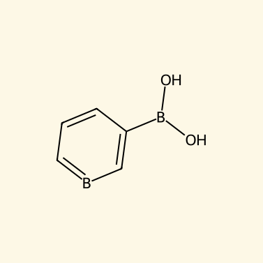 OB(O)c1cbccc1